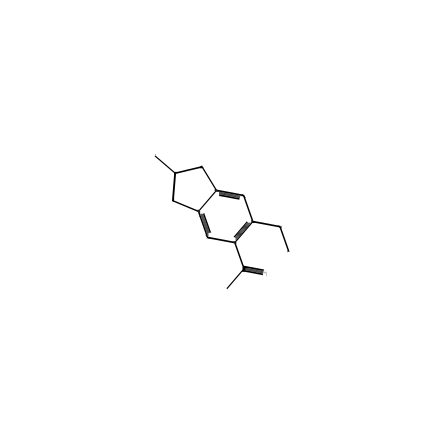 CCc1cc2c(cc1C(C)=O)CC(C)C2